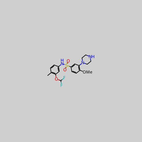 COc1ccc(S(=O)(=O)Nc2ccc(C)c(OC(F)F)c2)cc1N1CCNCC1